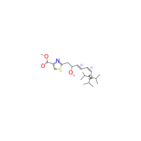 COC(=O)c1csc(CC(/C=C/C=C\[Si](C(C)C)(C(C)C)C(C)C)OC)n1